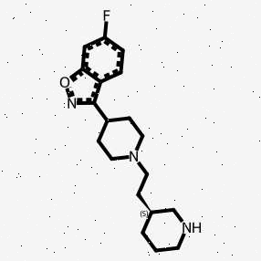 Fc1ccc2c(C3CCN(CC[C@@H]4CCCNC4)CC3)noc2c1